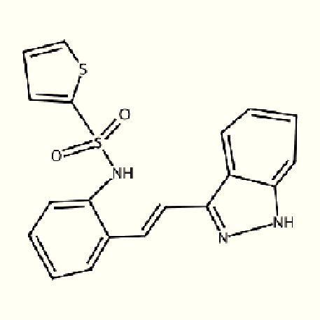 O=S(=O)(Nc1ccccc1C=Cc1n[nH]c2ccccc12)c1cccs1